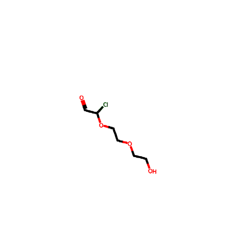 O=CC(Cl)OCCOCCO